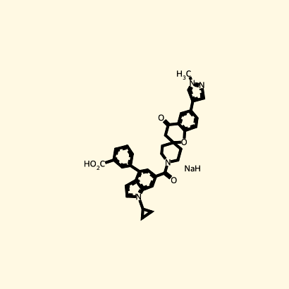 Cn1cc(-c2ccc3c(c2)C(=O)CC2(CCN(C(=O)c4cc(-c5cccc(C(=O)O)c5)c5ccn(C6CC6)c5c4)CC2)O3)cn1.[NaH]